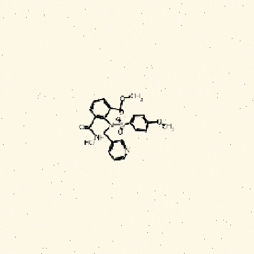 COC(=O)c1cccc(C(=O)NO)c1N(Cc1cccnc1)S(=O)(=O)c1ccc(OC)cc1